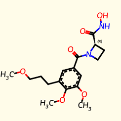 COCCCc1cc(C(=O)N2CC[C@@H]2C(=O)NO)cc(OC)c1OC